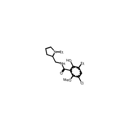 CCc1cc(Cl)c(OC)c(C(=O)NCC2CCCN2CC)c1O